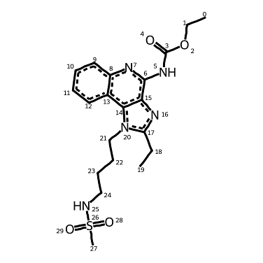 CCOC(=O)Nc1nc2ccccc2c2c1nc(CC)n2CCCCNS(C)(=O)=O